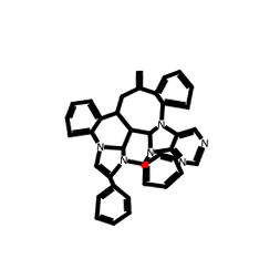 C=C1CC2c3ccccc3N3C=C(c4ccccc4)N(c4ccccc4)C3C2C2N(C)c3ncncc3N2c2ccccc21